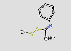 CCSSC(=Nc1ccccc1)OC